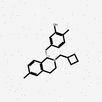 Cc1ccc2c(c1)CCN(CC1CCC1)[C@H]2Cc1ccc(C)c(O)c1